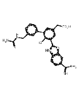 N=C(N)c1ccc2[nH]c(-c3cc(CC(=O)O)cc(-c4cccc(CNC(N)=S)c4)c3O)nc2c1